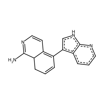 NC1=NC=CC2=C(c3c[nH]c4ncccc34)C=CCC12